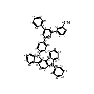 N#Cc1cccc(-c2cc(-c3ccccc3)cc(-c3ccc(-n4c5ccccc5c5ccc6c(c7ccccc7n6-c6ccccc6)c54)cc3)n2)c1